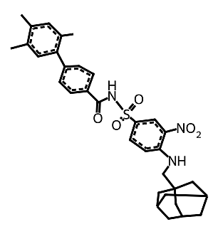 Cc1cc(C)c(-c2ccc(C(=O)NS(=O)(=O)c3ccc(NCC45CC6CC(CC(C6)C4)C5)c([N+](=O)[O-])c3)cc2)cc1C